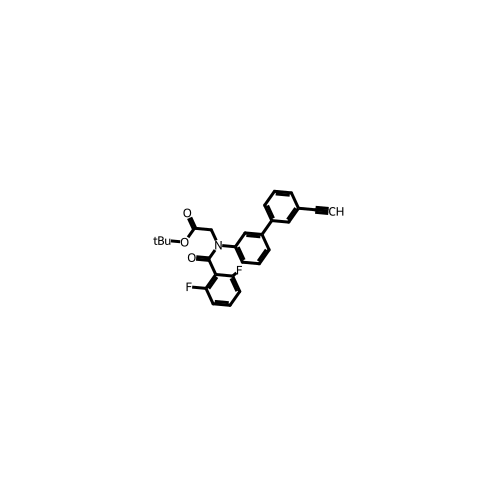 C#Cc1cccc(-c2cccc(N(CC(=O)OC(C)(C)C)C(=O)c3c(F)cccc3F)c2)c1